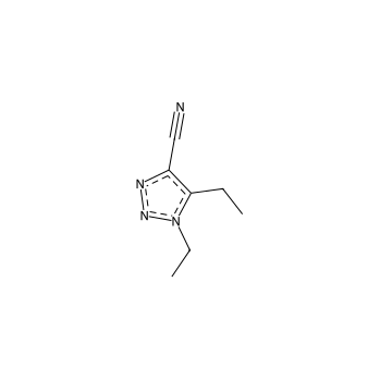 CCc1c(C#N)nnn1CC